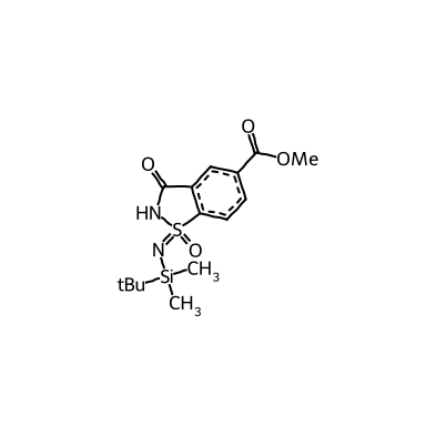 COC(=O)c1ccc2c(c1)C(=O)NS2(=O)=N[Si](C)(C)C(C)(C)C